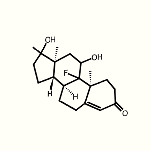 CC1(O)CC[C@H]2[C@@H]3CCC4=CC(=O)CC[C@]4(C)C3(F)C(O)C[C@@]21C